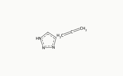 C=C=C.c1c[nH]nn1